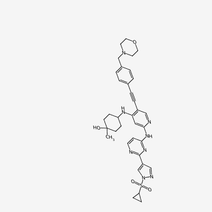 CC1(O)CCC(Nc2cc(Nc3ccnc(-c4cnn(S(=O)(=O)C5CC5)c4)n3)ncc2C#Cc2ccc(CN3CCOCC3)cc2)CC1